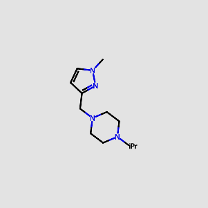 CC(C)N1CCN(Cc2ccn(C)n2)CC1